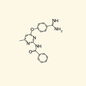 Cc1cc(Oc2ccc(C(=N)N)cc2)nc(NC(=O)c2ccccc2)n1